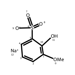 COc1cccc(S(=O)(=O)[O-])c1O.[Na+]